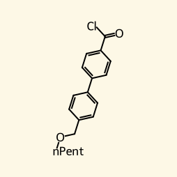 CCCCCOCc1ccc(-c2ccc(C(=O)Cl)cc2)cc1